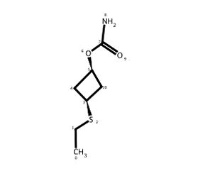 CCS[C@H]1C[C@@H](OC(N)=O)C1